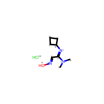 CN(C)C(/C=N/O)=N/C1CCC1.Cl